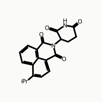 CC(C)c1ccc2c3c(cccc13)C(=O)N(C1CCC(=O)NC1=O)C2=O